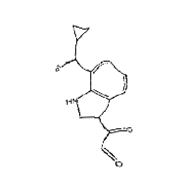 O=CC(=O)C1CNc2c1cccc2C(Br)C1CC1